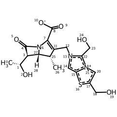 C[C@@H](O)[C@H]1C(=O)N2C(C(=O)[O-])=C(Cn3cc4sc(CO)c[n+]4c3CO)[C@H](C)[C@H]12